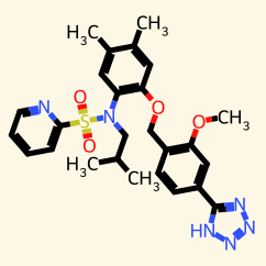 COc1cc(-c2nnn[nH]2)ccc1COc1cc(C)c(C)cc1N(CC(C)C)S(=O)(=O)c1ccccn1